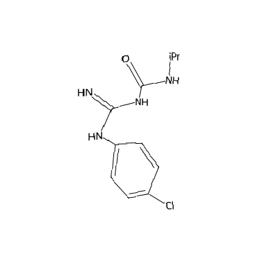 CC(C)NC(=O)NC(=N)Nc1ccc(Cl)cc1